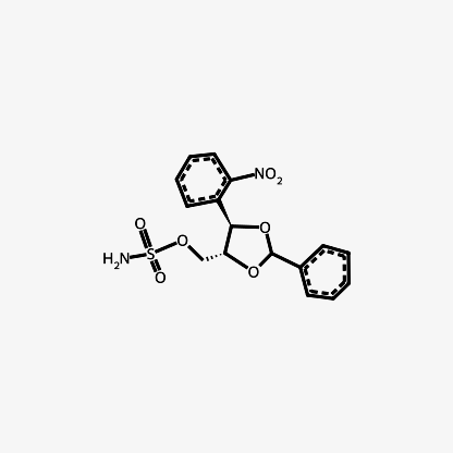 NS(=O)(=O)OC[C@H]1OC(c2ccccc2)O[C@@H]1c1ccccc1[N+](=O)[O-]